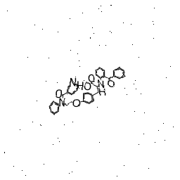 O=C(c1ccccc1)c1ccccc1NC(Cc1ccc(OCCN(C(=O)c2cccnc2)c2ccccc2)cc1)C(=O)O